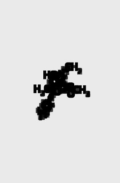 C=CCN1CC[C@@]2(c3cccc(OC(C)=O)c3)C[C@H](N(C)C(=O)C#Cc3ccc(C(F)(F)F)cc3)CC[C@]2(O)C1